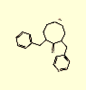 Cl.O=C1C(Cc2ccccc2)CCCCCC1Cc1ccncc1